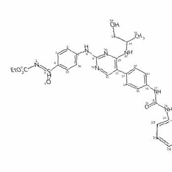 CCOC(=O)N=[SH](=O)c1ccc(Nc2ncc(-c3ccc(NC(=O)Nc4ccccn4)cc3)c(NC(C)CO)n2)cc1